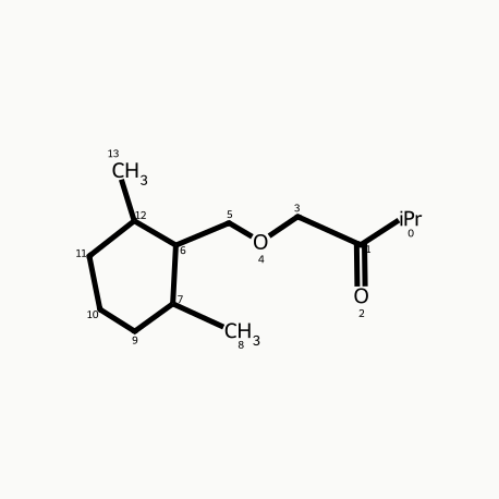 CC(C)C(=O)COCC1C(C)CCCC1C